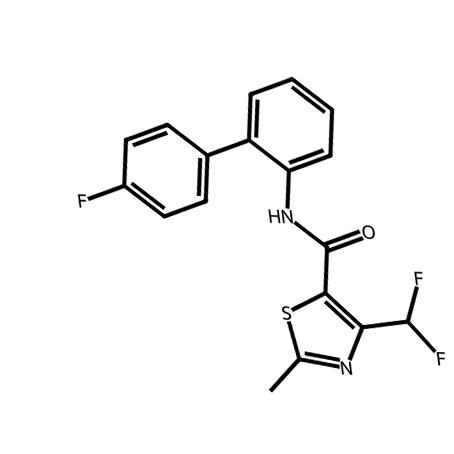 Cc1nc(C(F)F)c(C(=O)Nc2ccccc2-c2ccc(F)cc2)s1